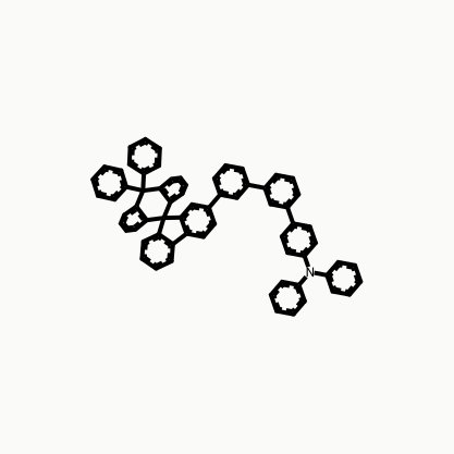 c1ccc(N(c2ccccc2)c2ccc(-c3cccc(-c4cccc(-c5ccc6c(c5)C5(c7ccccc7-6)c6ccccc6C(c6ccccc6)(c6ccccc6)c6ccccc65)c4)c3)cc2)cc1